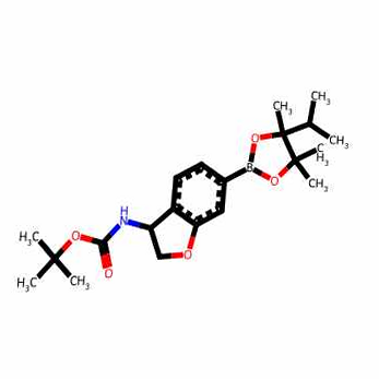 CC(C)C1(C)OB(c2ccc3c(c2)OCC3NC(=O)OC(C)(C)C)OC1(C)C